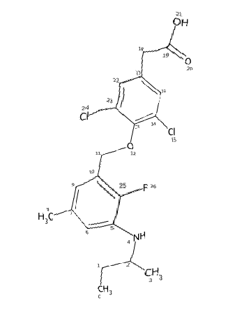 CCC(C)Nc1cc(C)cc(COc2c(Cl)cc(CC(=O)O)cc2Cl)c1F